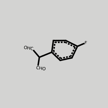 O=CC(C=O)c1ccc(F)cc1